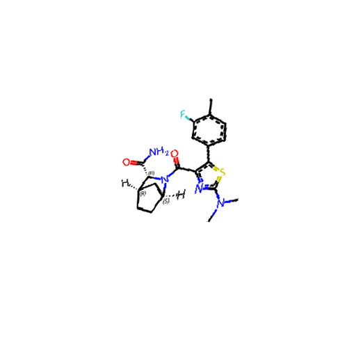 Cc1ccc(-c2sc(N(C)C)nc2C(=O)N2[C@H]3CC[C@H](C3)[C@@H]2C(N)=O)cc1F